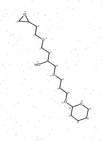 OC(CCOCCC1CO1)COCCCOC1CCCCO1